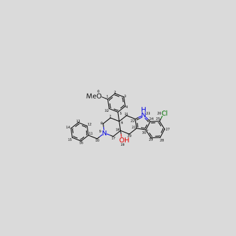 COc1cccc(C23CCN(Cc4ccccc4)CC2(O)Cc2c([nH]c4c(Cl)cccc24)C3)c1